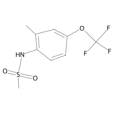 Cc1cc(OC(F)(F)F)ccc1NS(C)(=O)=O